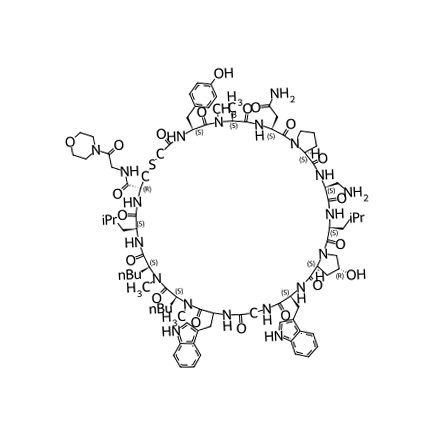 CCCC[C@H]1C(=O)N(C)[C@@H](CCCC)C(=O)N[C@@H](CC(C)C)C(=O)N[C@H](C(=O)NCC(=O)N2CCOCC2)CSCC(=O)N[C@@H](Cc2ccc(O)cc2)C(=O)N(C)[C@@H](C)C(=O)N[C@@H](CC(N)=O)C(=O)N2CCC[C@H]2C(=O)N[C@@H](CN)C(=O)N[C@@H](CC(C)C)C(=O)N2C[C@H](O)C[C@H]2C(=O)N[C@@H](Cc2c[nH]c3ccccc23)C(=O)NCC(=O)NC(Cc2c[nH]c3ccccc23)C(=O)N1C